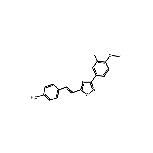 Cc1ccc(C=Cc2nc(-c3ccc(OC(C)C)c(I)c3)no2)cc1